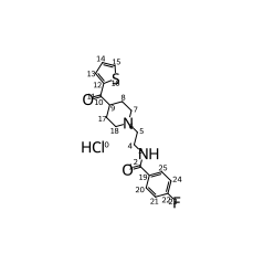 Cl.O=C(NCCN1CCC(C(=O)c2cccs2)CC1)c1ccc(F)cc1